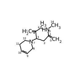 C=C(CC(C(=C)C)N1CC=CCC1)NC